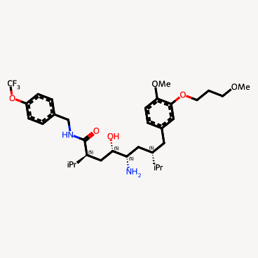 COCCCOc1cc(C[C@@H](C[C@H](N)[C@@H](O)C[C@H](C(=O)NCc2ccc(OC(F)(F)F)cc2)C(C)C)C(C)C)ccc1OC